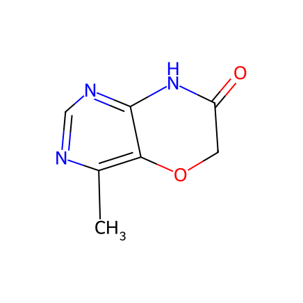 Cc1ncnc2c1OCC(=O)N2